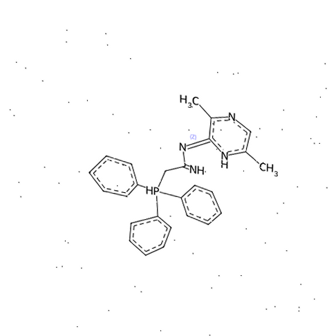 Cc1cnc(C)/c(=N/C(=N)C[PH](c2ccccc2)(c2ccccc2)c2ccccc2)[nH]1